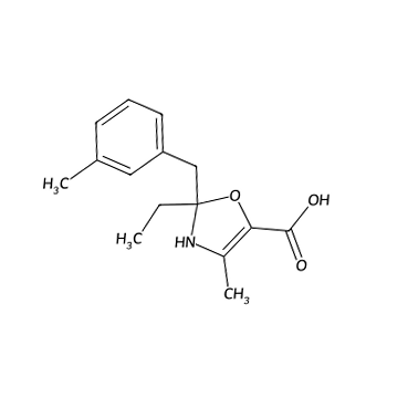 CCC1(Cc2cccc(C)c2)NC(C)=C(C(=O)O)O1